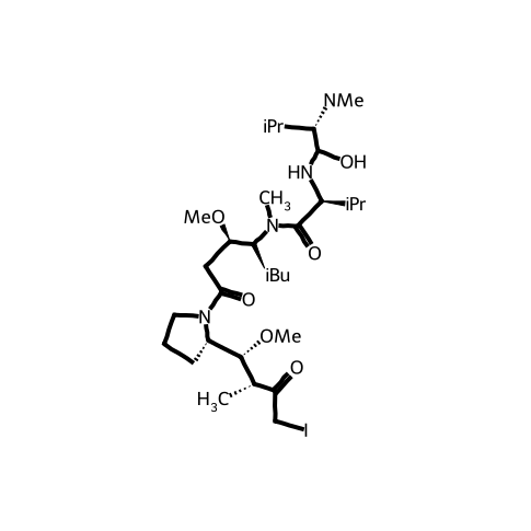 CC[C@H](C)C([C@@H](CC(=O)N1CCC[C@H]1[C@H](OC)[C@@H](C)C(=O)CI)OC)N(C)C(=O)[C@@H](NC(O)[C@@H](NC)C(C)C)C(C)C